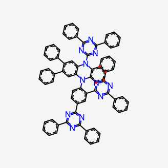 c1ccc(-c2nc(-c3ccccc3)nc(-c3ccc(N4c5ccccc5N(c5nc(-c6ccccc6)nc(-c6ccccc6)n5)c5cc(-c6ccccc6)c(-c6ccccc6)cc54)c(-c4nc(-c5ccccc5)nc(-c5ccccc5)n4)c3)n2)cc1